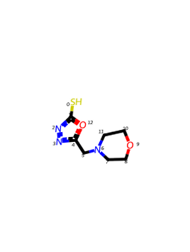 Sc1nnc(CN2CCOCC2)o1